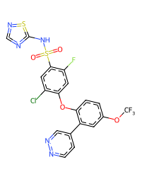 O=S(=O)(Nc1ncns1)c1cc(Cl)c(Oc2ccc(OC(F)(F)F)cc2-c2ccnnc2)cc1F